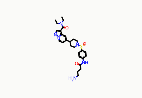 CCN(CC)C(=O)c1cnn2ccc(C3CCN([S+]([O-])c4ccc(NC(=O)CCCN)cc4)CC3)cc12